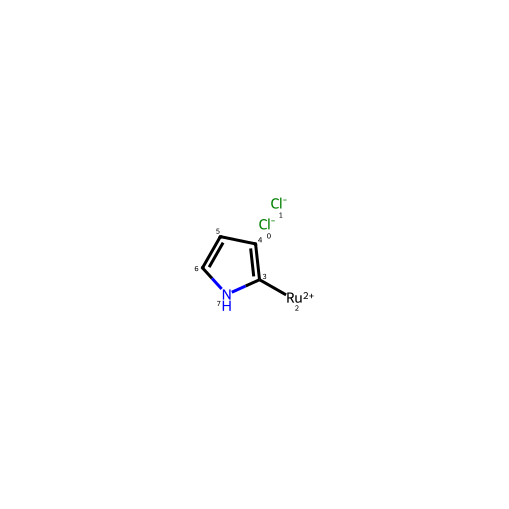 [Cl-].[Cl-].[Ru+2][c]1ccc[nH]1